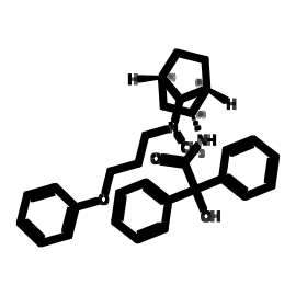 CN(CCCOc1ccccc1)C1[C@H]2CC[C@@H]1[C@H](NC(=O)C(O)(c1ccccc1)c1ccccc1)C2